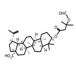 C=C(C)[C@H]1CC[C@]2(C(=O)O)CC[C@@]3(C)[C@H](CC[C@H]4[C@@]5(C)CC[C@H](OC(=O)CC(C)(C)OC=O)C(C)(C)[C@H]5CC[C@]43C)[C@H]12